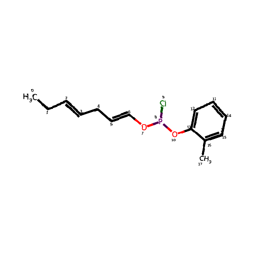 CCC=CCC=COP(Cl)Oc1ccccc1C